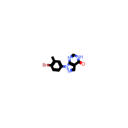 Cc1cc(-n2ncc3c(=O)[nH]cnc32)ccc1Br